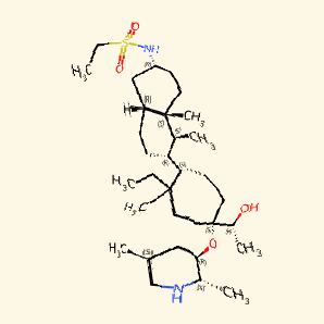 CCC1(C)CC[C@](O[C@@H]2C[C@H](C)CN[C@H]2C)([C@@H](C)O)CC[C@H]1[C@@H]1CC[C@@H]2C[C@H](NS(=O)(=O)CC)CC[C@]2(C)[C@H]1C